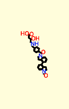 O=CN1CCc2c(-c3cccc4c3CCN4C(=O)c3ccc(CNCC(O)CC(=O)O)cc3)cccc21